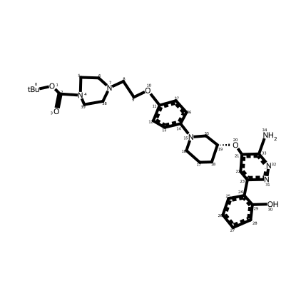 CC(C)(C)OC(=O)N1CCN(CCOc2ccc(N3CCC[C@@H](Oc4cc(-c5ccccc5O)nnc4N)C3)cc2)CC1